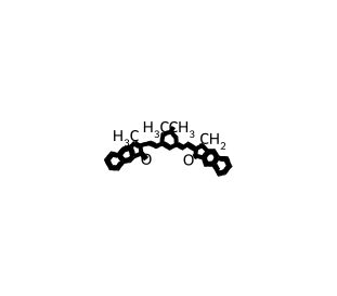 C=C1/C(=C/C=C2C=C(/C=C/C3=C(C)c4cc5ccccc5cc4C3=O)CC(C)(C)C/2)C(=O)c2cc3ccccc3cc21